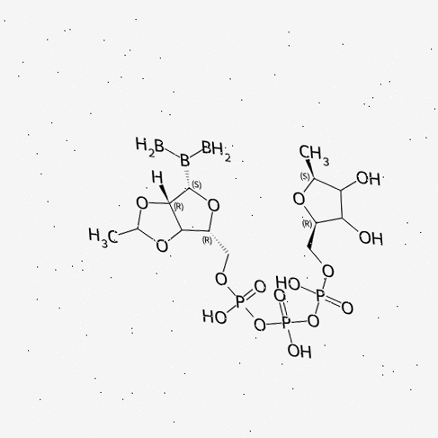 BB(B)[C@@H]1O[C@H](COP(=O)(O)OP(=O)(O)OP(=O)(O)OC[C@H]2O[C@@H](C)C(O)C2O)C2OC(C)O[C@@H]21